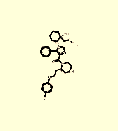 COC[C@]1(O)CCCC[C@H]1n1cnc(C(=O)N2CCNC[C@H]2CCOc2ccc(Cl)cc2)c1-c1ccccc1